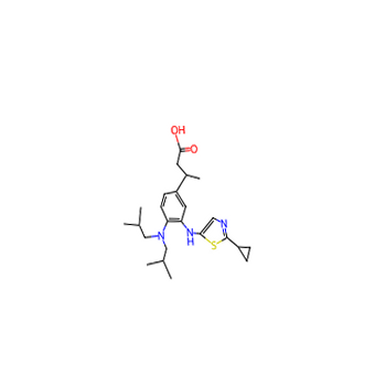 CC(C)CN(CC(C)C)c1ccc(C(C)CC(=O)O)cc1Nc1cnc(C2CC2)s1